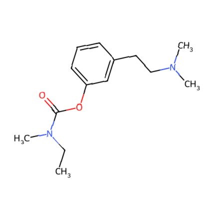 CCN(C)C(=O)Oc1cccc(CCN(C)C)c1